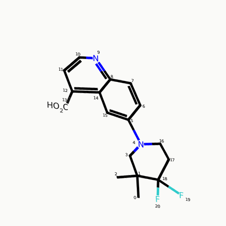 CC1(C)CN(c2ccc3nccc(C(=O)O)c3c2)CCC1(F)F